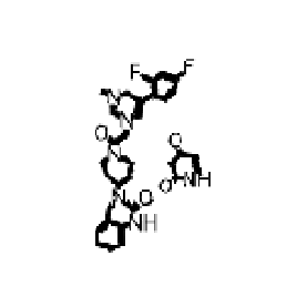 CN1CC(c2ccc(F)cc2F)=CN(CC(=O)N2CCC(N3Cc4ccccc4NC3=O)CC2)C1.O=C1C=CNC(=O)C1